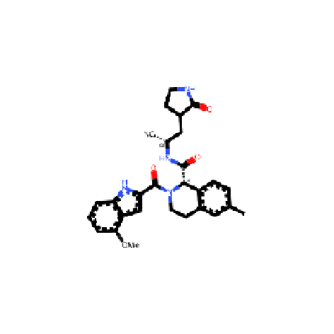 COc1cccc2[nH]c(C(=O)N3CCc4cc(C)ccc4[C@H]3C(=O)N[C@H](C#N)CC3CCNC3=O)cc12